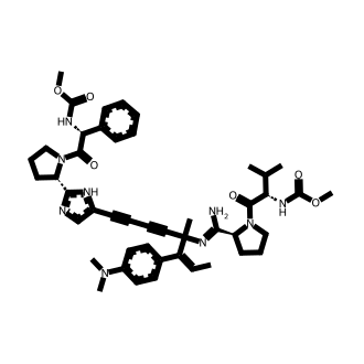 C/C=C(/c1ccc(N(C)C)cc1)C(C)(C#CC#Cc1cnc([C@@H]2CCCN2C(=O)[C@H](NC(=O)OC)c2ccccc2)[nH]1)/N=C(\N)[C@@H]1CCCN1C(=O)[C@@H](NC(=O)OC)C(C)C